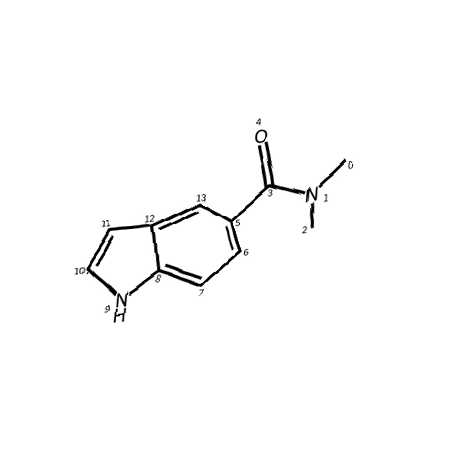 CN(C)C(=O)c1ccc2[nH][c]cc2c1